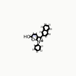 O=C(O)/C=C\c1cn(-c2ccccc2)nc1-c1ccc2ccccc2c1